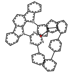 c1ccc(-c2ccc(-c3ccccc3-c3cccc(-n4c5ccccc5c5ccc6c7ccccc7n(-c7nc(-c8ccccc8)nc(-c8ccccc8)n7)c6c54)c3)cc2)cc1